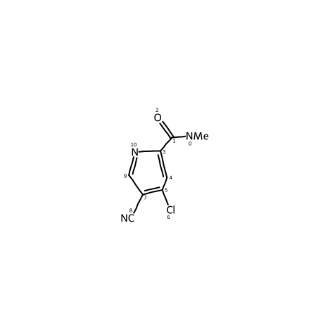 CNC(=O)c1cc(Cl)c(C#N)cn1